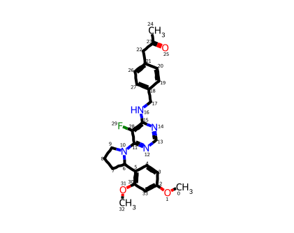 COc1ccc(C2CCCN2c2ncnc(NCc3ccc(CC(C)=O)cc3)c2F)c(OC)c1